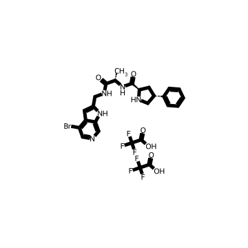 C[C@H](NC(=O)[C@H]1C[C@H](c2ccccc2)CN1)C(=O)NCc1cc2c(Br)cncc2[nH]1.O=C(O)C(F)(F)F.O=C(O)C(F)(F)F